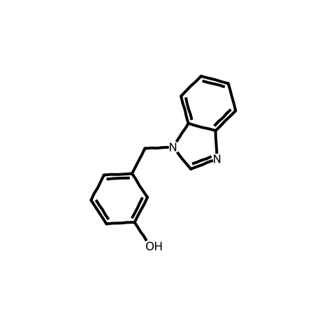 Oc1cccc(Cn2cnc3ccccc32)c1